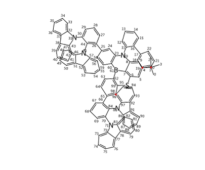 CC(C)(C)c1cc2c3c(c1)N(c1ccccc1-c1ccccc1)c1cc(-c4cccc(-n5c6ccccc6c6ccccc65)c4-n4c5ccccc5c5ccccc54)ccc1B3c1ccc(-c3cccc(-n4c5ccccc5c5ccccc54)c3-n3c4ccccc4c4ccccc43)cc1S2